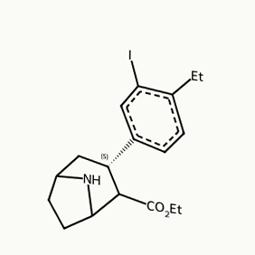 CCOC(=O)C1C2CCC(C[C@@H]1c1ccc(CC)c(I)c1)N2